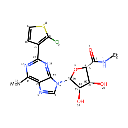 CCNC(=O)[C@H]1O[C@@H](n2cnc3c(NC)nc(-c4ccsc4Cl)nc32)[C@H](O)[C@@H]1O